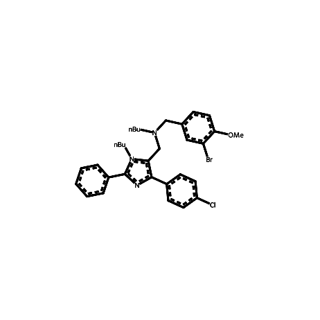 CCCCN(Cc1ccc(OC)c(Br)c1)Cc1c(-c2ccc(Cl)cc2)nc(-c2ccccc2)n1CCCC